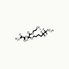 C=C(F)C(=O)OC(OCCCCC(F)(F)C(F)(F)S(=O)(=O)O)(C(=O)OCCC(F)(F)F)C(F)(F)F